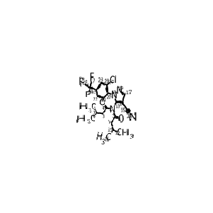 CC(C)CC(=O)N(C(=O)CC(C)C)c1c(C#N)cnn1-c1ccc(C(F)(F)F)cc1Cl